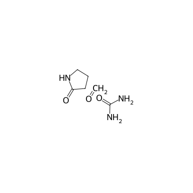 C=O.NC(N)=O.O=C1CCCN1